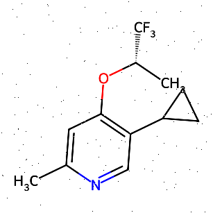 Cc1cc(O[C@@H](C)C(F)(F)F)c(C2CC2)cn1